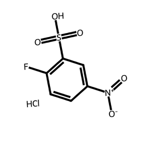 Cl.O=[N+]([O-])c1ccc(F)c(S(=O)(=O)O)c1